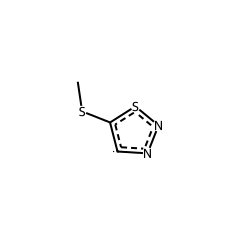 CSc1[c]nns1